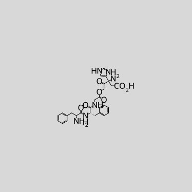 N[C@@H](Cc1ccccc1)C(=O)N[C@@H](Cc1ccccc1)C(=O)NCC(=O)OCC(=O)[C@@](N)(CC(=O)O)c1c[nH]cn1